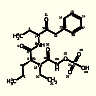 CCC[C@@H](C(=O)NN(CC)C(=O)Cc1ccccc1)N(CC)C(=O)NOS(=O)(=O)O